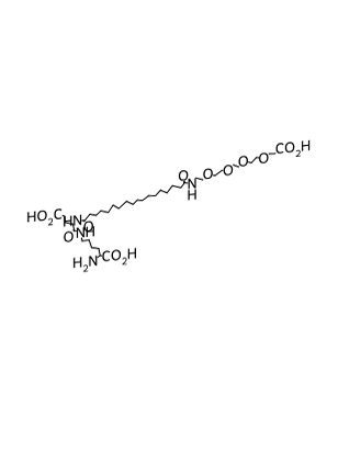 N[C@@H](CCCCNC(=O)C(CCC(=O)O)NC(=O)CCCCCCCCCCCCCCCCC(=O)NCCOCCOCCOCCOCCC(=O)O)C(=O)O